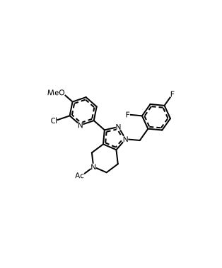 COc1ccc(-c2nn(Cc3ccc(F)cc3F)c3c2CN(C(C)=O)CC3)nc1Cl